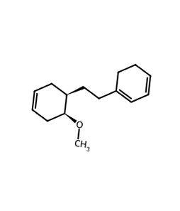 CO[C@H]1CC=CC[C@H]1CCC1=CC=CCC1